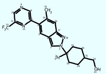 [2H]C1(n2cc3cc(-c4cncc(C(F)(F)F)n4)c(C)cc3n2)CCC(CO)CC1